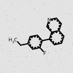 CCc1ccc(-c2cccc3ccncc23)c(F)c1